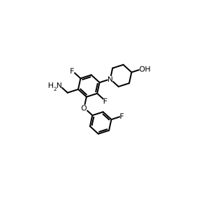 NCc1c(F)cc(N2CCC(O)CC2)c(F)c1Oc1cccc(F)c1